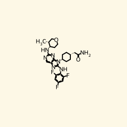 C[C@@H]1COCC[C@@H]1Nc1ncc2nc(Nc3c(F)cc(F)cc3F)n([C@H]3CC[C@@H](CC(N)=O)CC3)c2n1